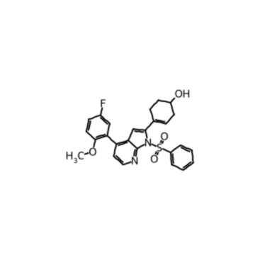 COc1ccc(F)cc1-c1ccnc2c1cc(C1=CCC(O)CC1)n2S(=O)(=O)c1ccccc1